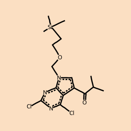 CC(C)C(=O)c1cn(COCC[Si](C)(C)C)c2nc(Cl)nc(Cl)c12